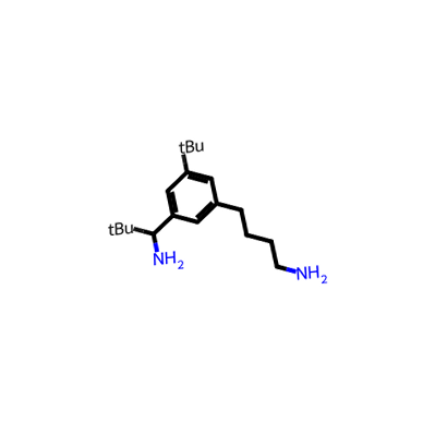 CC(C)(C)c1cc(CCCCN)cc(C(N)C(C)(C)C)c1